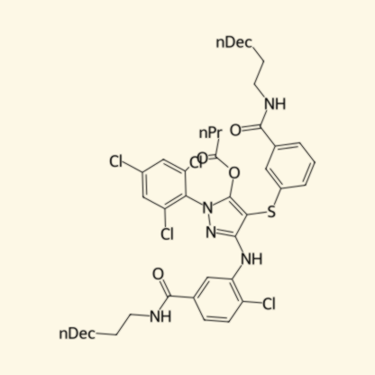 CCCCCCCCCCCCNC(=O)c1cccc(Sc2c(Nc3cc(C(=O)NCCCCCCCCCCCC)ccc3Cl)nn(-c3c(Cl)cc(Cl)cc3Cl)c2OC(=O)CCC)c1